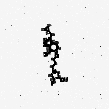 OC1CN(CCCOc2ccc3c(nnn3CC3CC3)c2Br)CC1F